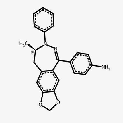 C[C@@H]1Cc2cc3c(cc2C(c2ccc(N)cc2)=NN1c1ccccc1)OCO3